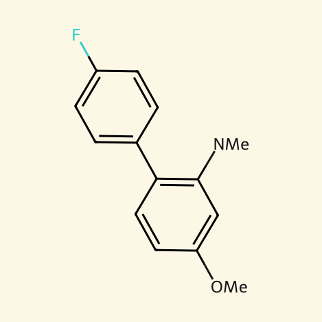 CNc1cc(OC)ccc1-c1ccc(F)cc1